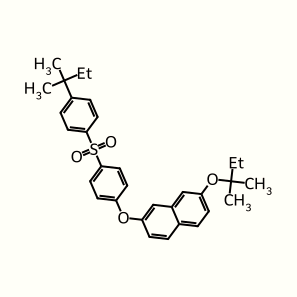 CCC(C)(C)Oc1ccc2ccc(Oc3ccc(S(=O)(=O)c4ccc(C(C)(C)CC)cc4)cc3)cc2c1